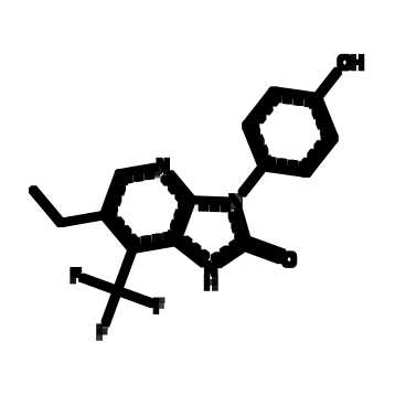 CCc1cnc2c([nH]c(=O)n2-c2ccc(O)cc2)c1C(F)(F)F